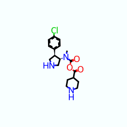 CN(C(=O)OC(=O)C1CCNCC1)[C@@H]1CNC[C@H]1c1ccc(Cl)cc1